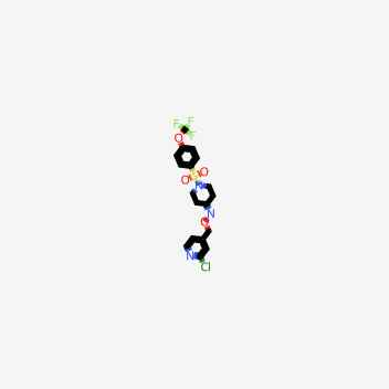 O=S(=O)(c1ccc(OC(F)(F)F)cc1)N1CCC(=NOCc2ccnc(Cl)c2)CC1